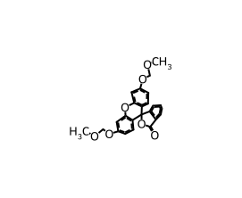 COCOc1ccc2c(c1)Oc1cc(OCOC)ccc1C21OC(=O)c2ccccc21